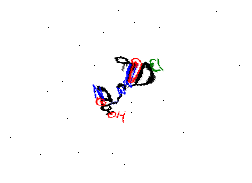 CC(C)(O)c1ccc2c(c1)/C(=C/CCN1CC[C@H](N(Cc3ccc(Cl)cc3)C(=O)C3CCCCC3)C1)c1cccnc1O2